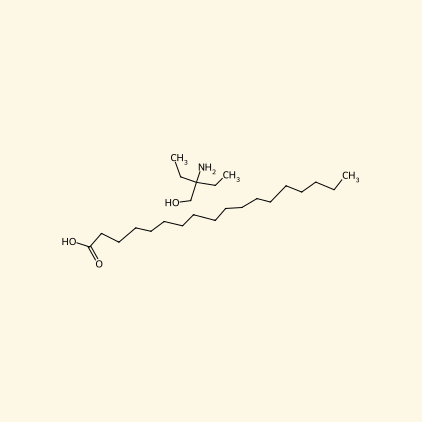 CCC(N)(CC)CO.CCCCCCCCCCCCCCCCCC(=O)O